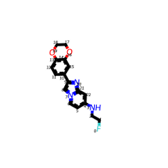 FCCNc1ccn2cc(-c3ccc4c(c3)OCCO4)nc2c1